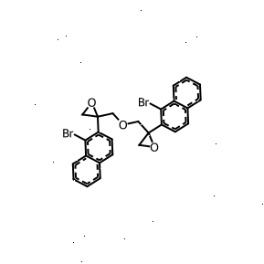 Brc1c(C2(COCC3(c4ccc5ccccc5c4Br)CO3)CO2)ccc2ccccc12